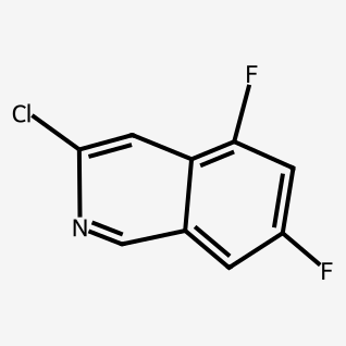 Fc1cc(F)c2cc(Cl)ncc2c1